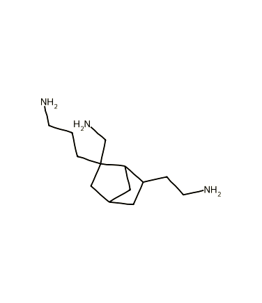 NCCCC1(CN)CC2CC(CCN)C1C2